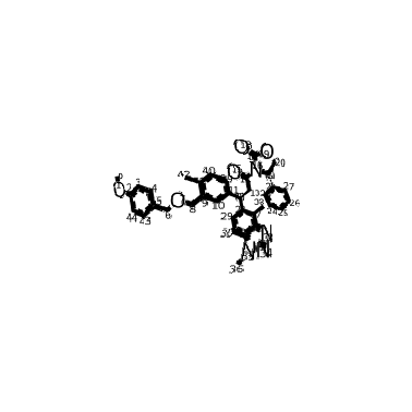 COc1ccc(COCc2cc([C@@H](CC(=O)N3C(=O)OC[C@@H]3c3ccccc3)c3ccc4c(nnn4C)c3C)ccc2C)cc1